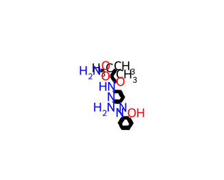 CC(C)(C)C(OC(N)=O)C(=O)Nc1ccc(N=Nc2ccccc2O)c(N)n1